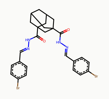 O=C(N/N=C/c1ccc(Br)cc1)C12CC3CC(C1)CC(C(=O)N/N=C/c1ccc(Br)cc1)(C3)C2